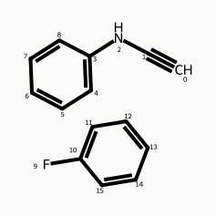 C#CNc1ccccc1.Fc1ccccc1